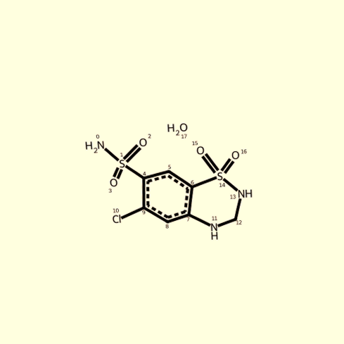 NS(=O)(=O)c1cc2c(cc1Cl)NCNS2(=O)=O.O